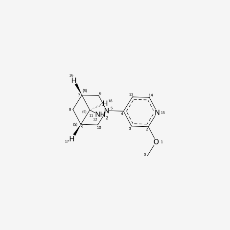 COc1cc(N2C[C@H]3C[C@@H](C2)[C@@H]3N)ccn1